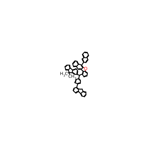 CC1(C)c2ccccc2-c2ccc(C(c3ccc(-c4cccc5c4Cc4ccccc4-5)cc3)c3cccc4oc5c(-c6ccc7ccccc7c6)c6ccccc6cc5c34)cc21